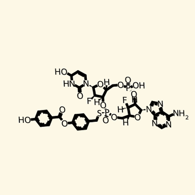 Nc1ncnc2c1ncn2[C@@H]1O[C@@H]2CO[P@](=O)(SCc3ccc(OC(=O)c4ccc(O)cc4)cc3)O[C@H]3[C@@H](F)[C@H](N4C=CC(O)NC4=O)O[C@@H]3COP(=O)(O)O[C@@H]1[C@@H]2F